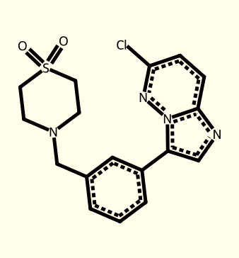 O=S1(=O)CCN(Cc2cccc(-c3cnc4ccc(Cl)nn34)c2)CC1